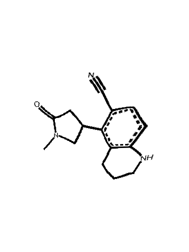 CN1CC(c2c(C#N)ccc3c2CCCN3)CC1=O